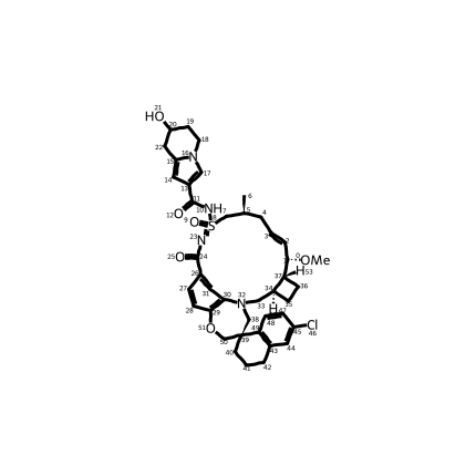 CO[C@H]1/C=C/C[C@H](C)CS(=O)(NC(=O)c2cc3n(c2)CCC(O)C3)=NC(=O)c2ccc3c(c2)N(C[C@@H]2CC[C@H]21)C[C@@]1(CCCc2cc(Cl)ccc21)CO3